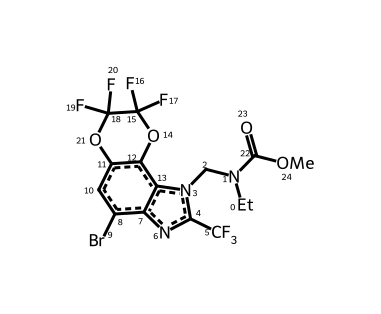 CCN(Cn1c(C(F)(F)F)nc2c(Br)cc3c(c21)OC(F)(F)C(F)(F)O3)C(=O)OC